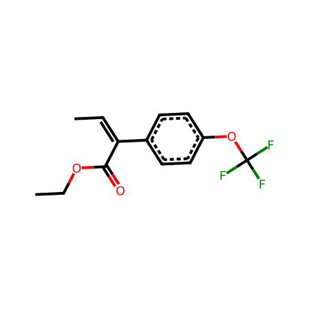 CC=C(C(=O)OCC)c1ccc(OC(F)(F)F)cc1